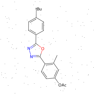 CC(=O)Oc1ccc(-c2nnc(-c3ccc(C(C)(C)C)cc3)o2)c(C)c1